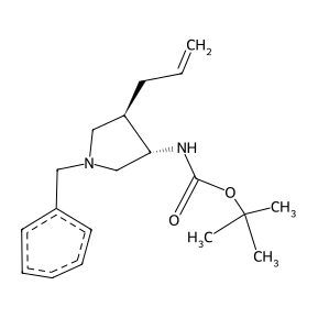 C=CC[C@@H]1CN(Cc2ccccc2)C[C@H]1NC(=O)OC(C)(C)C